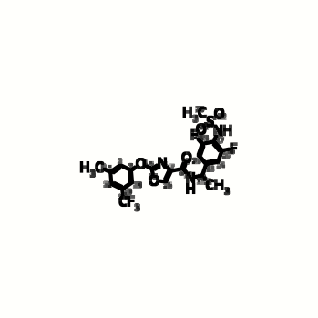 Cc1cc(Oc2nc(C(=O)N[C@H](C)c3cc(F)c(NS(C)(=O)=O)c(F)c3)co2)cc(C(F)(F)F)c1